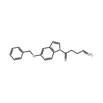 C=CCCC(=O)n1ccc2cc(OCc3ccccc3)ccc21